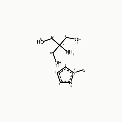 Cn1cccn1.NC(CO)(CO)CO